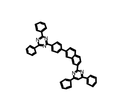 c1ccc(-c2cc(-c3ccccc3)nc(-c3ccc4ccc(-c5ccc(-c6nc(-c7ccccc7)nc(-c7ccccc7)n6)cc5)cc4c3)n2)cc1